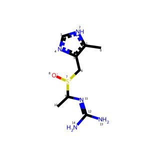 Cc1[nH]cnc1C[S+]([O-])C(C)N=C(N)N